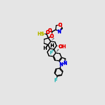 C[C@]12Cc3cnn(-c4ccc(F)cc4)c3C=C1CC[C@H]1[C@@H]3CC[C@](OC(=O)C4COC=N4)(C(=O)S)[C@@]3(C)C[C@H](O)[C@@]12F